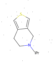 CC(C)N1CCc2cscc2C1